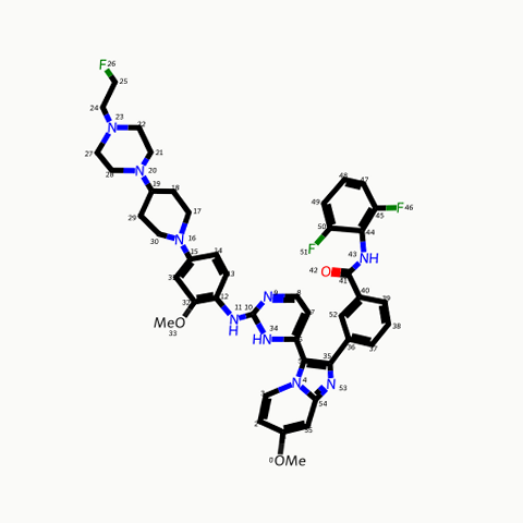 COc1ccn2c(C3=CC=NC(Nc4ccc(N5CCC(N6CCN(CCF)CC6)CC5)cc4OC)N3)c(-c3cccc(C(=O)Nc4c(F)cccc4F)c3)nc2c1